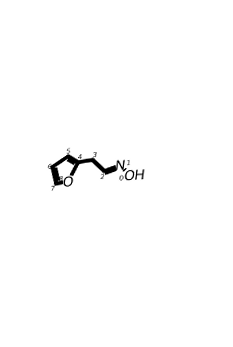 ON=CCc1ccco1